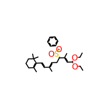 CCOC(C=C(C)C(CC=C(C)C=CC1=C(C)CCCC1(C)C)=S(=O)=O)OCC.c1ccccc1